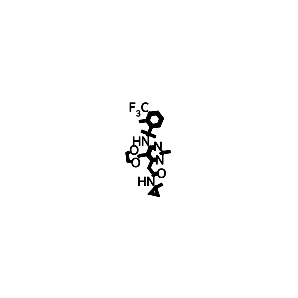 Cc1nc(CC(=O)NC2(C)CC2)c(C2OCCO2)c(NC(C)(C)c2cccc(C(F)(F)F)c2C)n1